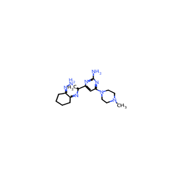 C=C(/N=C1/CCCC/C1=N/N)c1cc(N2CCN(C)CC2)nc(N)n1